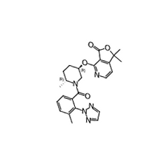 Cc1cccc(C(=O)N2C[C@H](Oc3nccc4c3C(=O)OC4(C)C)CC[C@H]2C)c1-n1nccn1